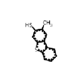 Cc1cc2c(cc1S)sc1ccccc12